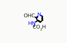 O=Cc1ncccc1NC(=O)O